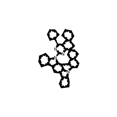 c1ccc(-c2nc(-n3c4ccccc4c4cc5c6ccccc6n6c7ccc8ccccc8c7c(c43)c56)nc3ccc4ccccc4c23)cc1